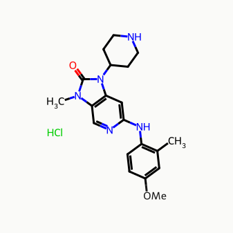 COc1ccc(Nc2cc3c(cn2)n(C)c(=O)n3C2CCNCC2)c(C)c1.Cl